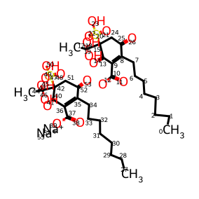 CCCCCCCCC1=C(C(=O)[O-])C(=O)C(C(C)(O)O)(S(=O)(=O)O)CC1=O.CCCCCCCCC1=C(C(=O)[O-])C(=O)C(C(C)(O)O)(S(=O)(=O)O)CC1=O.[Na+].[Na+]